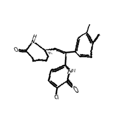 Cc1ccc(C(=C[C@H]2CCC(=O)N2)c2ccc(Cl)c(=O)[nH]2)cc1C